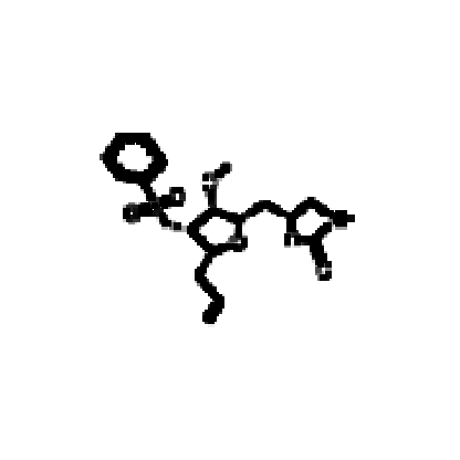 C=CC[C@@H]1O[C@H](C[C@H]2CNC(=O)O2)[C@H](OC)[C@H]1CS(=O)(=O)c1ccccc1